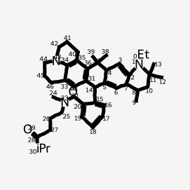 CCN1C2=CC3C(=CC2C(C)CC1(C)C)C(c1ccccc1C(=O)N(C)CCCC(=O)C(C)C)c1cc2c4c(c1C3(C)C)CCCN4CCC2